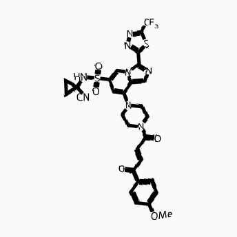 COc1ccc(C(=O)/C=C/C(=O)N2CCN(c3cc(S(=O)(=O)NC4(C#N)CC4)cn4c(-c5nnc(C(F)(F)F)s5)ncc34)CC2)cc1